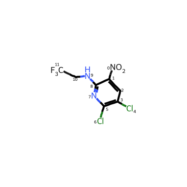 O=[N+]([O-])c1cc(Cl)c(Cl)nc1NCC(F)(F)F